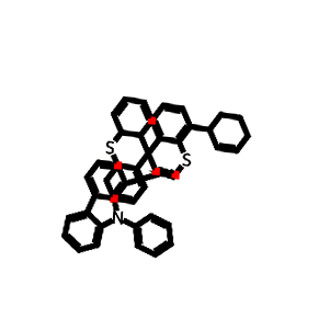 C1=CCC2SC3C=CC=CC3C3(C2=C1)C1=C(C=CCC1c1cccc2c4ccccc4n(-c4ccccc4)c12)Sc1c(C2C=CCCC2)cccc13